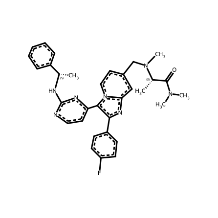 C[C@H](Nc1nccc(-c2c(-c3ccc(F)cc3)nc3cc(CN(C)[C@@H](C)C(=O)N(C)C)ccn23)n1)c1ccccc1